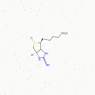 N=C1NC2[C@H](C[S+]([O-])[C@H]2CCCCC(=O)O)N1